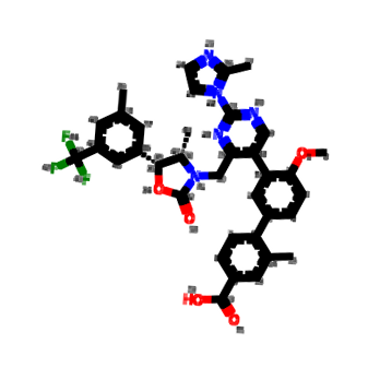 COc1ccc(-c2ccc(C(=O)O)cc2C)cc1-c1cnc(-n2ccnc2C)nc1CN1C(=O)O[C@H](c2cc(C)cc(C(F)(F)F)c2)[C@@H]1C